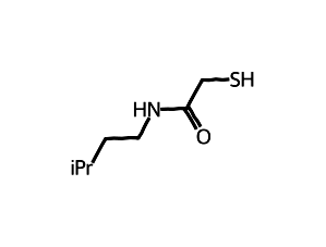 CC(C)CCNC(=O)CS